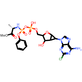 COC(=O)[C@H](C)NP(=O)(Oc1ccccc1)OP(=O)(O)OCC1OC2C(C1O)C2n1cnc2c(N)nc(Cl)nc21